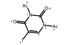 CC(=O)n1cc(I)c(=O)n(C(C)=O)c1=O